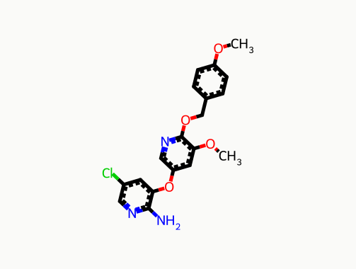 COc1ccc(COc2ncc(Oc3cc(Cl)cnc3N)cc2OC)cc1